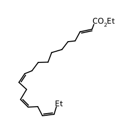 CC/C=C\C/C=C\C/C=C\CCCCCCC/C=C/C(=O)OCC